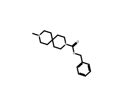 CN1CCC2(CC1)CCN(C(=O)OCc1ccccc1)CC2